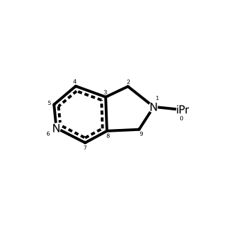 CC(C)N1Cc2ccncc2C1